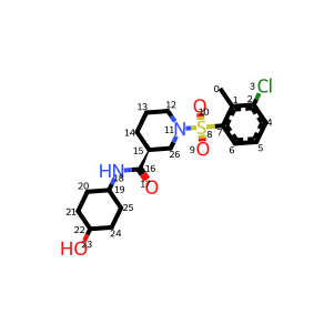 Cc1c(Cl)cccc1S(=O)(=O)N1CCC[C@H](C(=O)NC2CCC(O)CC2)C1